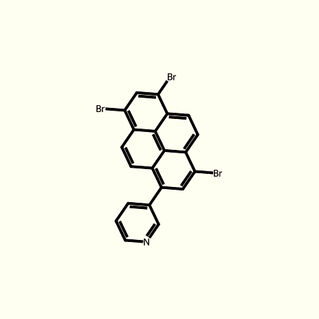 Brc1cc(Br)c2ccc3c(-c4cccnc4)cc(Br)c4ccc1c2c43